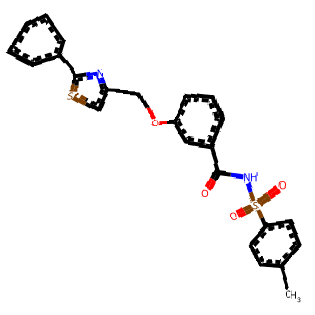 Cc1ccc(S(=O)(=O)NC(=O)c2cccc(OCc3csc(-c4ccccc4)n3)c2)cc1